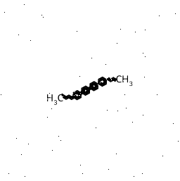 CCCCCC1CC=C(c2ccc(-c3ccc([C@H]4CC[C@H](CCCCC)CC4)cc3)cc2)CC1